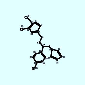 Clc1ccc(CSC(Cn2ccnc2)c2ccc(Br)cc2)cc1Cl